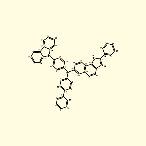 c1ccc(-c2ccc(N(c3ccc(-n4c5ccccc5c5ccccc54)cc3)c3ccc4c(ccc5nc(-c6ccccc6)oc54)c3)cc2)cc1